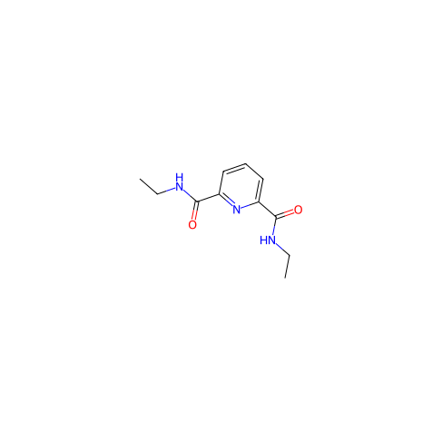 CCNC(=O)c1cccc(C(=O)NCC)n1